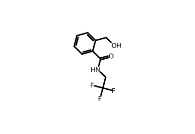 O=C(NCC(F)(F)F)c1ccccc1CO